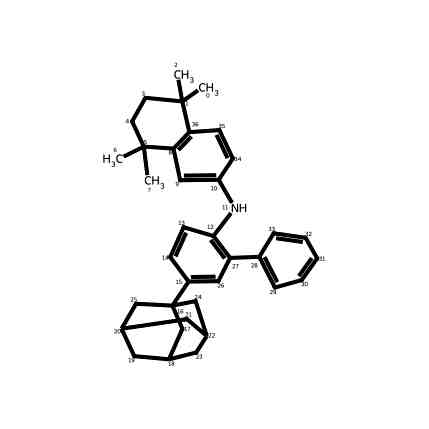 CC1(C)CCC(C)(C)c2cc(Nc3ccc(C45CC6CC(CC(C6)C4)C5)cc3-c3ccccc3)ccc21